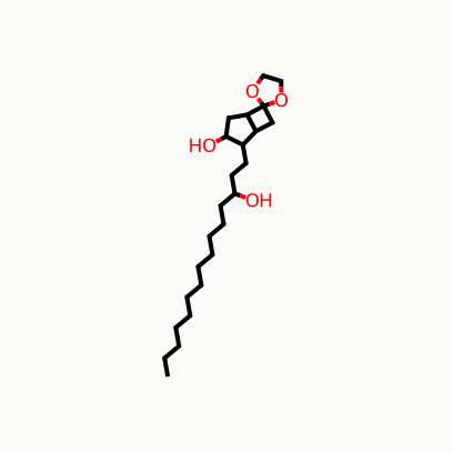 CCCCCCCCCCCCC(O)CCC1C(O)CC2C1CC21OCCO1